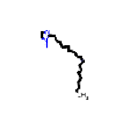 CCCCCCCC/C=C\CCCCCCCCC1=NCCN1